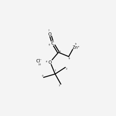 CC(C)(C)OC(=C=O)[CH2][Zn+].[Cl-]